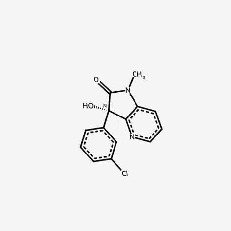 CN1C(=O)[C@](O)(c2cccc(Cl)c2)c2ncccc21